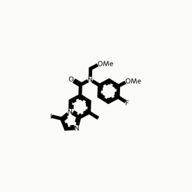 COCN(C(=O)c1cc(C)c2ncc(I)n2c1)c1ccc(F)c(OC)c1